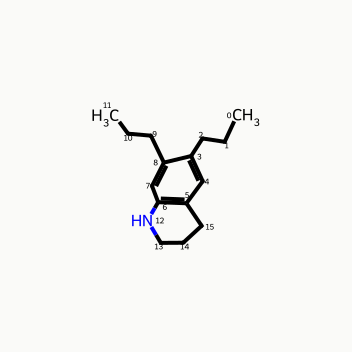 CCCc1cc2c(cc1CCC)NCCC2